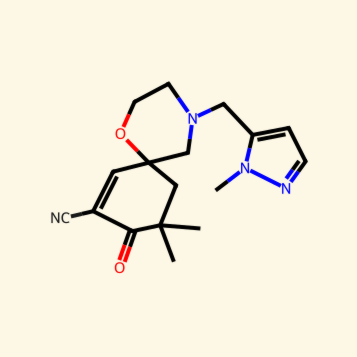 Cn1nccc1CN1CCOC2(C=C(C#N)C(=O)C(C)(C)C2)C1